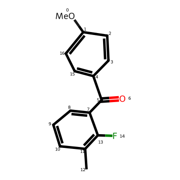 COc1ccc(C(=O)c2cccc(C)c2F)cc1